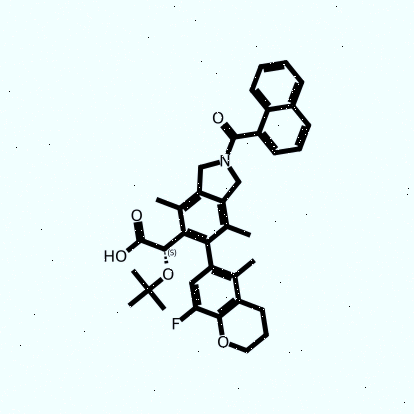 Cc1c(-c2c(C)c3c(c(C)c2[C@H](OC(C)(C)C)C(=O)O)CN(C(=O)c2cccc4ccccc24)C3)cc(F)c2c1CCCO2